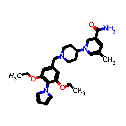 CCOc1cc(CN2CCC(N3C=C(C)C=C(C(N)=O)C3)CC2)cc(OCC)c1-n1cccc1